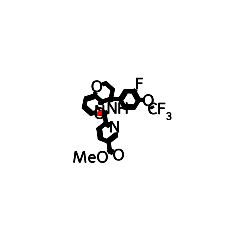 COC(=O)c1ccc(C(=O)NC2(c3ccc(OC(F)(F)F)c(F)c3)CCOc3cccnc32)nc1